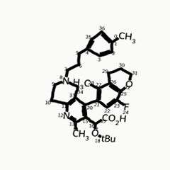 Cc1ccc(CCCN2CCc3nc(C)c(C(OC(C)(C)C)C(=O)O)c(-c4cc(F)c5c(c4C)CCCO5)c3C2)cc1